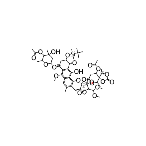 COc1c2c(c(O)c3c4c(c(C)cc13)C1OC3(C(OC)OC)OC1[C@@](OC1CC(OC(C)=O)C5(OC(=O)O[C@@H]5C)C(C)O1)(O4)[C@@]31CO1)C(=O)C(O[Si](C)(C)C(C)(C)C)C[C@@H]2OC1CC(C)(O)C(OC(C)=O)C(C)O1